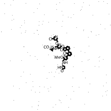 COc1nc(-c2cccc(-c3cccc4c3CC[C@@H]4Oc3nc(OCc4cncc(Cl)c4)c(CNC4(C(=O)O)CC4)cc3Cl)c2Cl)ccc1CNC[C@@H]1CCC(=O)N1